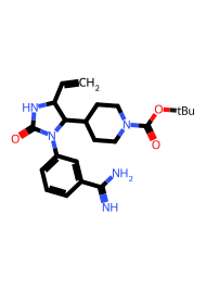 C=CC1NC(=O)N(c2cccc(C(=N)N)c2)C1C1CCN(C(=O)OC(C)(C)C)CC1